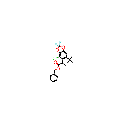 CC(C(=O)OCc1ccccc1)c1c(C(C)(C)C)cc2c(c1Cl)OC(F)(F)O2